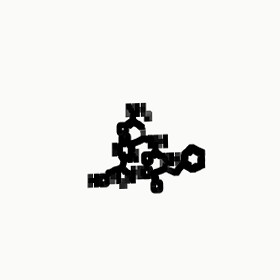 NC(=O)C[C@H](NC(=O)N[C@@H](Cc1ccccc1)C(=O)O)c1nc([C@@H](N)CO)no1